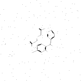 C=C(COCC(=C)OC)OC.OC(c1cccnc1)c1ccc(Cl)cc1Cl